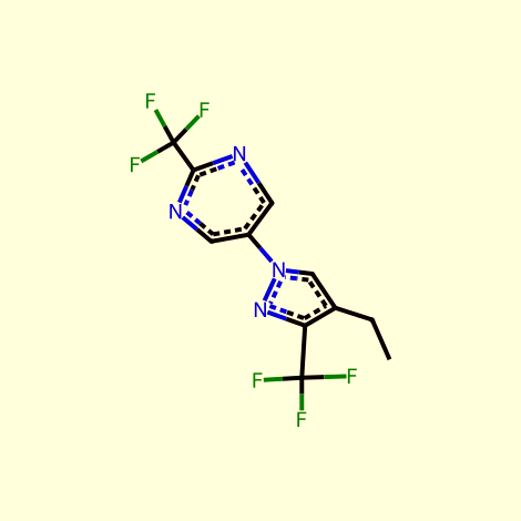 CCc1cn(-c2cnc(C(F)(F)F)nc2)nc1C(F)(F)F